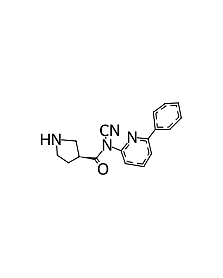 N#CN(C(=O)[C@H]1CCNC1)c1cccc(-c2ccccc2)n1